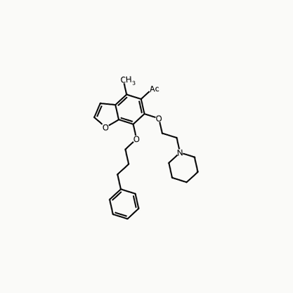 CC(=O)c1c(OCCN2CCCCC2)c(OCCCc2ccccc2)c2occc2c1C